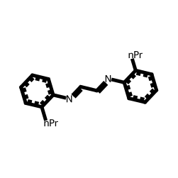 CCCc1ccccc1N=CC=Nc1ccccc1CCC